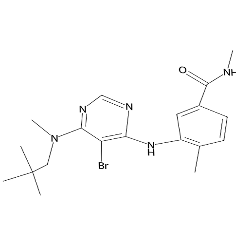 CNC(=O)c1ccc(C)c(Nc2ncnc(N(C)CC(C)(C)C)c2Br)c1